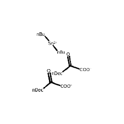 CCCCCCCCCCC(=O)C(=O)[O-].CCCCCCCCCCC(=O)C(=O)[O-].CCC[CH2][Sn+2][CH2]CCC